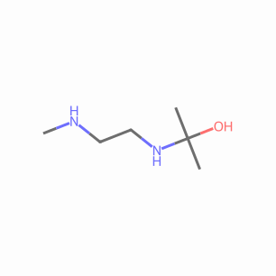 CNCCNC(C)(C)O